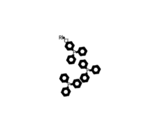 [Cl][Rh].c1ccc(P(c2ccccc2)c2ccccc2)cc1.c1ccc(P(c2ccccc2)c2ccccc2)cc1.c1ccc(P(c2ccccc2)c2ccccc2)cc1